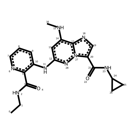 CCNC(=O)c1ncccc1Nc1cc(NC)c2ncc(C(=O)NC3CC3)n2n1